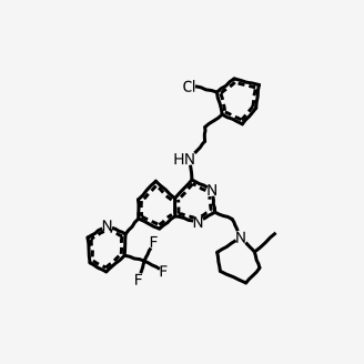 CC1CCCCN1Cc1nc(NCCc2ccccc2Cl)c2ccc(-c3ncccc3C(F)(F)F)cc2n1